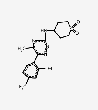 Cc1nc(NC2CCS(=O)(=O)CC2)nnc1-c1ccc(C(F)(F)F)cc1O